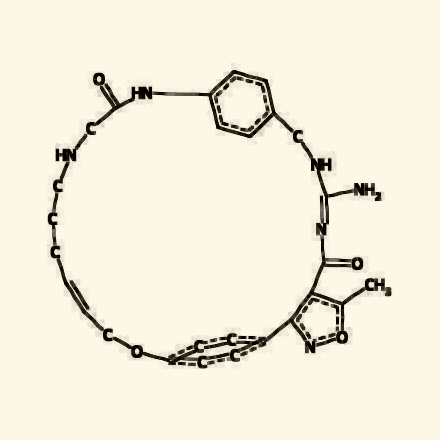 Cc1onc2c1C(=O)/N=C(\N)NCc1ccc(cc1)NC(=O)CNCCC/C=C\COc1ccc-2cc1